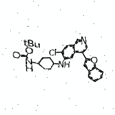 CC(C)(C)OC(=O)NC1CCC(Nc2cc3c(-c4cc5ccccc5o4)cncc3cc2Cl)CC1